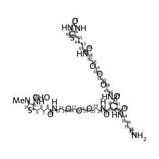 CNC1CSC(CCCCC(=O)NCCCOCCOCCOCCCNC(=O)c2cc(C(=O)NCCCCCCN)cc(C(=O)NCCCOCCOCCOCCCNC(=O)CCCCC3SCC4NC(=O)NC43)c2)C1NC=O